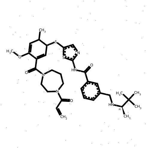 C=CC(=O)N1CCCN(C(=O)C2=CC(Sc3cnc(NC(=O)c4cccc(CN[C@H](C)C(C)(C)C)c4)s3)C(C)C=C2OC)CC1